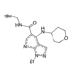 CCn1ncc2c(NC3CCOCC3)c(C(=O)NCC(C)(C)C)cnc21